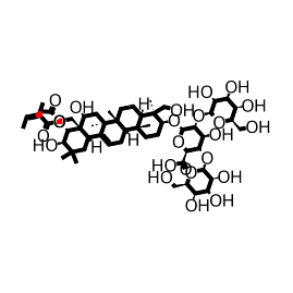 C/C=C(/C)C(=O)O[C@H]1[C@H](O)C(C)(C)C[C@H]2C3=CC[C@@H]4[C@@]5(C)CC[C@H](O[C@@H]6O[C@H](C(=O)O)[C@@H](O[C@@H]7O[C@H](CO)[C@@H](O)[C@H](O)[C@H]7O)[C@H](O)[C@H]6O[C@@H]6O[C@H](CO)[C@@H](O)[C@H](O)[C@H]6O)[C@](C)(CO)[C@@H]5CC[C@@]4(C)[C@]3(C)C[C@@H](O)[C@]21COC(C)=O